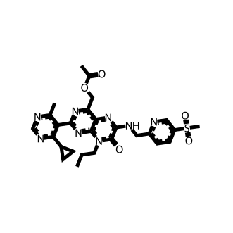 CCCn1c(=O)c(NCc2ccc(S(C)(=O)=O)cn2)nc2c(COC(C)=O)nc(-c3c(C)ncnc3C3CC3)nc21